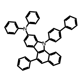 c1ccc(-c2ccc(-n3c4cc(N(c5ccccc5)c5ccccc5)ccc4c4c(-c5ccccc5)cc5ccccc5c43)cc2)cc1